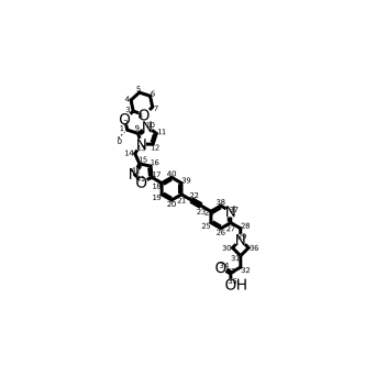 C[C@H](OC1CCCCO1)c1nccn1Cc1cc(-c2ccc(C#Cc3ccc(CN4CC(CC(=O)O)C4)nc3)cc2)on1